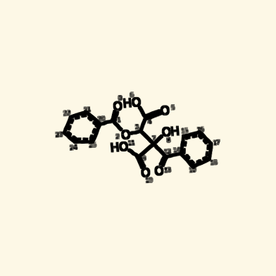 O=C(OC(C(=O)O)C(O)(C(=O)O)C(=O)c1ccccc1)c1ccccc1